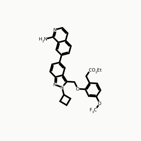 CCOC(=O)Cc1ccc(OC(F)(F)F)cc1OCc1c2cc(-c3ccc4ccnc(N)c4c3)ccc2nn1C1CCC1